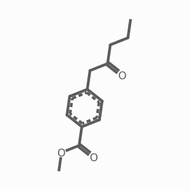 CCCC(=O)Cc1ccc(C(=O)OC)cc1